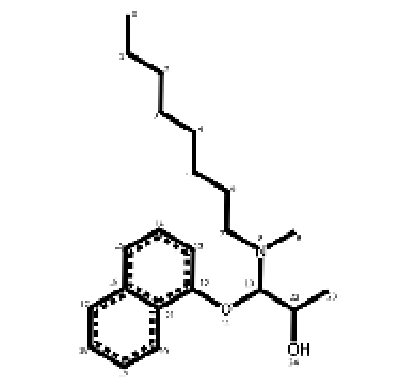 CCCCCCCCN(C)C(Oc1cccc2ccccc12)C(C)O